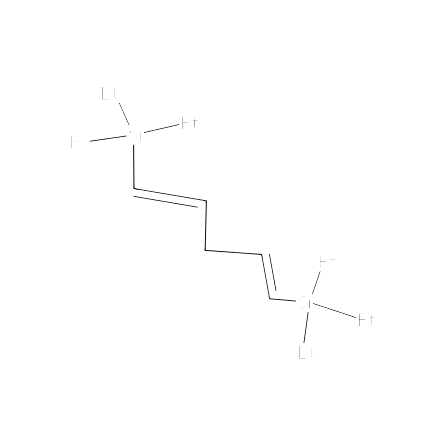 CC[Si](C=CCC=C[Si](CC)(CC)CC)(CC)CC